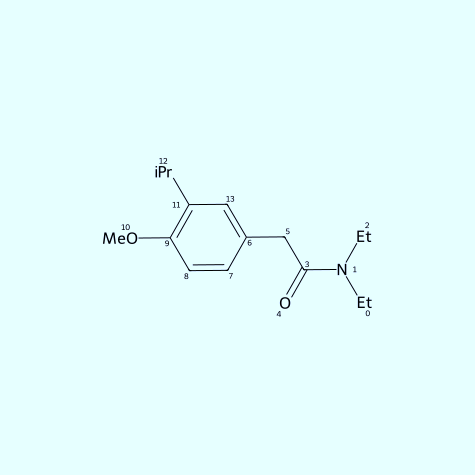 CCN(CC)C(=O)Cc1ccc(OC)c(C(C)C)c1